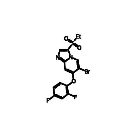 CCS(=O)(=O)c1cnc2cc(Oc3ccc(F)cc3F)c(Br)cn12